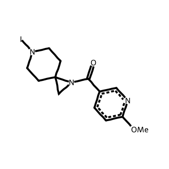 COc1ccc(C(=O)N2CC23CCN(I)CC3)cn1